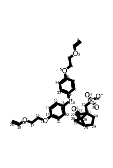 C=COCCOc1ccc([I+]c2ccc(OCCOC=C)cc2)cc1.CC1(C)C2CCC1(CS(=O)(=O)[O-])C(=O)C2